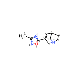 Cc1noc(C2=CC3CCN(C2)C3)n1